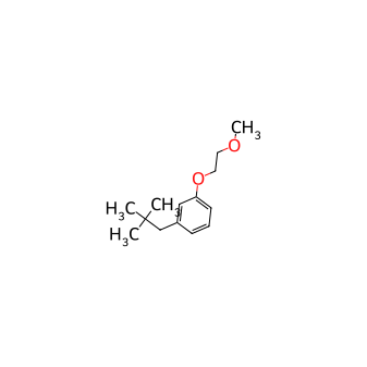 COCCOc1cccc(CC(C)(C)C)c1